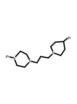 CC(C)C1CCN(CCCN2CCN(C(C)C)CC2)CC1